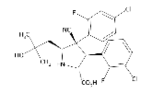 CC(C)(O)C[C@@H]1N[C@@H](C(=O)O)[C@H](c2cccc(Cl)c2F)[C@@]1(C#N)c1ccc(Cl)cc1F